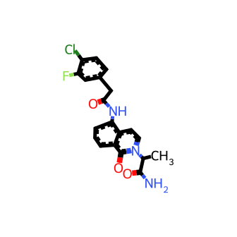 CC(C(N)=O)n1ccc2c(NC(=O)Cc3ccc(Cl)c(F)c3)cccc2c1=O